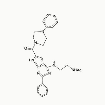 CC(=O)NCCNc1nc(-c2ccccc2)nc2[nH]c(C(=O)N3CCN(c4ccccc4)CC3)cc12